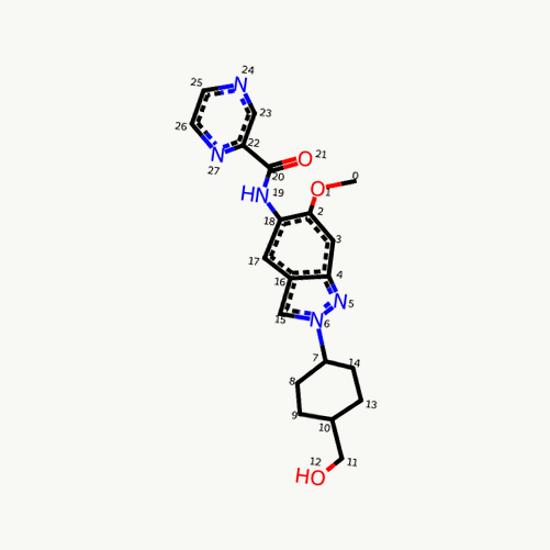 COc1cc2nn(C3CCC(CO)CC3)cc2cc1NC(=O)c1cnccn1